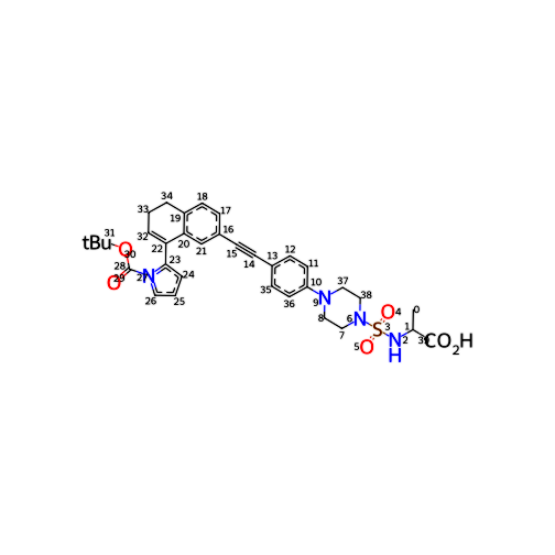 CC(NS(=O)(=O)N1CCN(c2ccc(C#Cc3ccc4c(c3)C(c3cccn3C(=O)OC(C)(C)C)=CCC4)cc2)CC1)C(=O)O